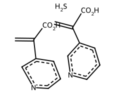 C=C(C(=O)O)c1cccnc1.C=C(C(=O)O)c1cccnc1.S